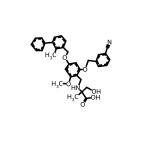 COc1cc(OCc2cccc(-c3ccccc3)c2C)cc(OCc2cccc(C#N)c2)c1CNC(C)(CO)C(=O)O